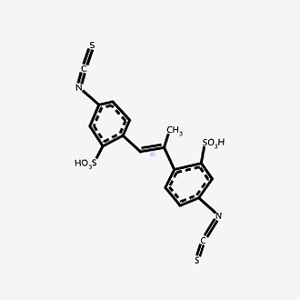 C/C(=C\c1ccc(N=C=S)cc1S(=O)(=O)O)c1ccc(N=C=S)cc1S(=O)(=O)O